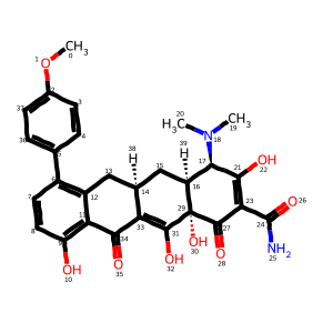 COc1ccc(-c2ccc(O)c3c2C[C@H]2C[C@H]4[C@@H](N(C)C)C(O)=C(C(N)=O)C(=O)[C@@]4(O)C(O)=C2C3=O)cc1